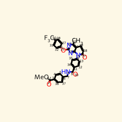 COC(=O)c1ccc(CNC(=O)c2ccc(-n3c(=O)ccc4c(C)nc(Oc5ccc(C(F)(F)F)cc5)nc43)cc2)cc1